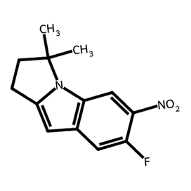 CC1(C)CCc2cc3cc(F)c([N+](=O)[O-])cc3n21